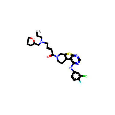 CCCN(C/C=C/C(=O)N1CCc2c(sc3ncnc(Nc4ccc(F)c(Cl)c4)c23)C1)CC1CCCO1